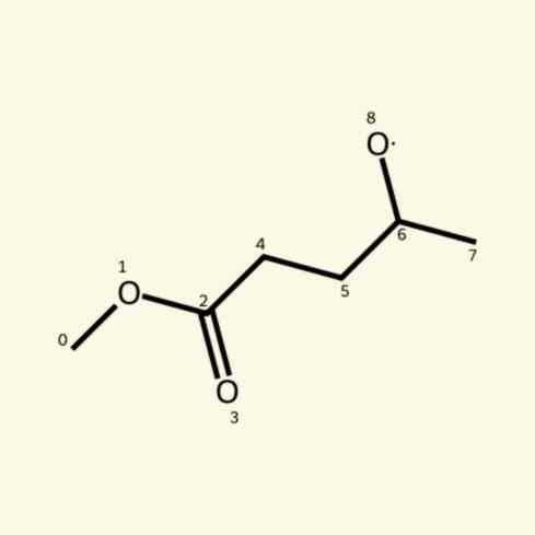 COC(=O)CCC(C)[O]